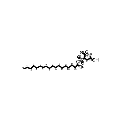 CCCCCCCCCCCCCCCCCC(=O)OS(=O)(=O)C(CC(=O)O)C(=O)O